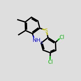 Cc1ccc(Sc2ccc(Cl)cc2Cl)c(N)c1C